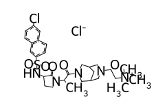 CC(C(=O)N1CC2CC(CN(C(=O)C[N+](C)(C)C)C2)C1)N1CCC(NS(=O)(=O)c2ccc3cc(Cl)ccc3c2)C1=O.[Cl-]